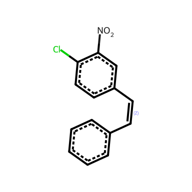 O=[N+]([O-])c1cc(/C=C\c2ccccc2)ccc1Cl